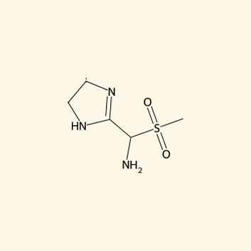 CS(=O)(=O)C(N)C1=N[CH]CN1